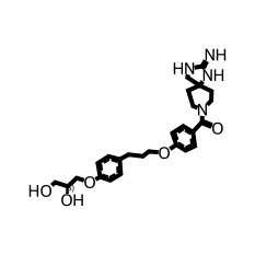 N=C1NCC2(CCN(C(=O)c3ccc(OCCCc4ccc(OC[C@@H](O)CO)cc4)cc3)CC2)N1